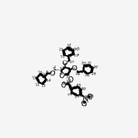 O=C(O[C@@H]1O[C@H](COCc2ccccc2)[C@@H](OCc2ccccc2)[C@H]1OCc1ccccc1)c1ccc([N+](=O)[O-])cc1